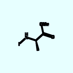 COC(=O)[C@@H](C)NI